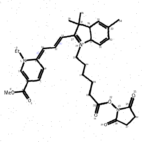 CCN1C=C(C(=O)OC)C=C/C1=C\C=C\C1=[N+](CCCCCC(=O)ON2C(=O)CCC2=O)C2C=CC(C)=CC2C1(C)C